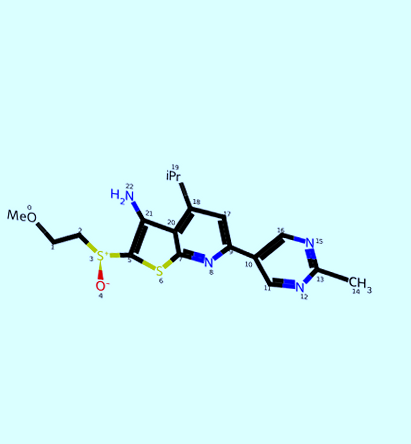 COCC[S@+]([O-])c1sc2nc(-c3cnc(C)nc3)cc(C(C)C)c2c1N